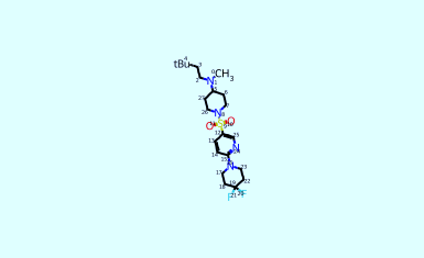 CN(CCC(C)(C)C)C1CCN(S(=O)(=O)c2ccc(N3CCC(F)(F)CC3)nc2)CC1